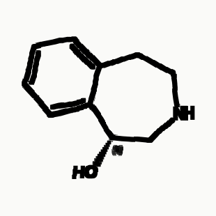 O[C@H]1CNCCc2ccccc21